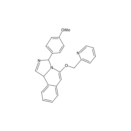 COc1ccc(C2N=CC3c4ccccc4C=C(OCc4ccccn4)N32)cc1